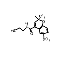 CC1(C(F)(F)F)C=C(C(=O)NCCC#N)c2cc([N+](=O)[O-])ccc2O1